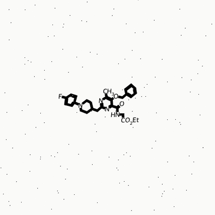 CCOC(=O)CNC(=O)c1nc(CC2CCN(c3ccc(F)cc3)CC2)nc(C)c1OCc1ccccc1